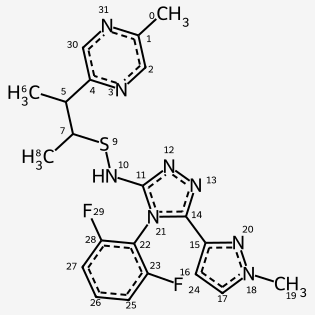 Cc1cnc(C(C)C(C)SNc2nnc(-c3ccn(C)n3)n2-c2c(F)cccc2F)cn1